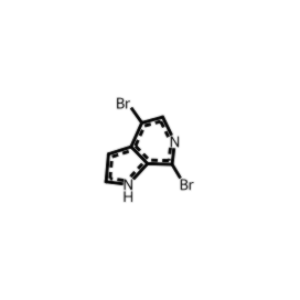 Brc1cnc(Br)c2[nH]ccc12